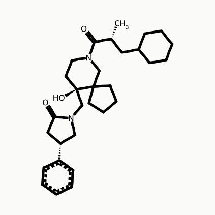 C[C@H](CC1CCCCC1)C(=O)N1CC[C@@](O)(CN2C[C@H](c3ccccc3)CC2=O)C2(CCCC2)C1